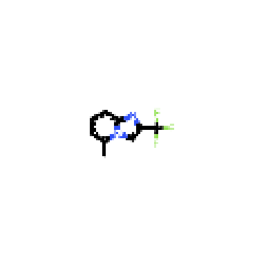 Cc1cccc2nc(C(F)(F)F)cn12